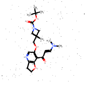 CN(C)/C=C/C(=O)c1c(OCC2(C)CN(C(=O)OC(C)(C)C)C2)cnc2c1OCC2